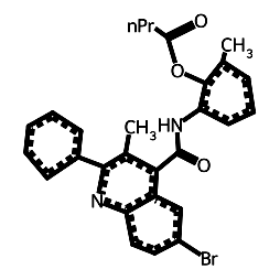 CCCC(=O)Oc1c(C)cccc1NC(=O)c1c(C)c(-c2ccccc2)nc2ccc(Br)cc12